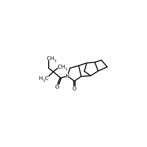 CCC(C)(C)C(=O)N1CC2C3CC(C4CCC43)C2C1=O